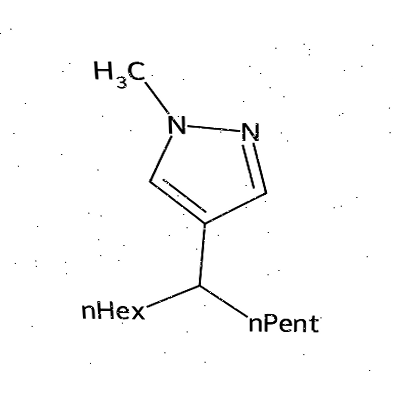 CCCCCCC(CCCCC)c1cnn(C)c1